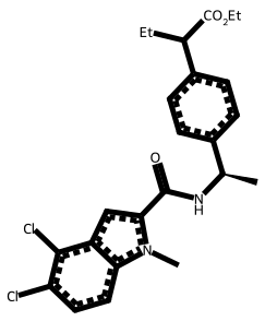 CCOC(=O)C(CC)c1ccc([C@@H](C)NC(=O)c2cc3c(Cl)c(Cl)ccc3n2C)cc1